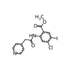 COC(=O)c1cc(I)c(Cl)cc1NC(=O)Cc1ccncc1